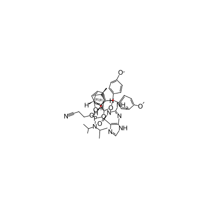 COc1ccc(C(OC(OP(OCCC#N)N(C(C)C)C(C)C)[C@H]2[C@H]3[C@H](C)C[C@H]2O[C@H]3n2c(N)nc3[nH]cnc3c2=O)(c2ccccc2)c2ccc(OC)cc2)cc1